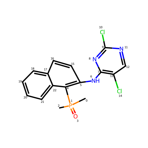 CP(C)(=O)c1c(Nc2nc(Cl)ncc2Cl)ccc2ccccc12